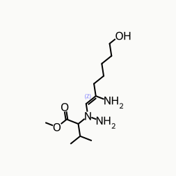 COC(=O)C(C(C)C)N(N)/C=C(\N)CCCCCO